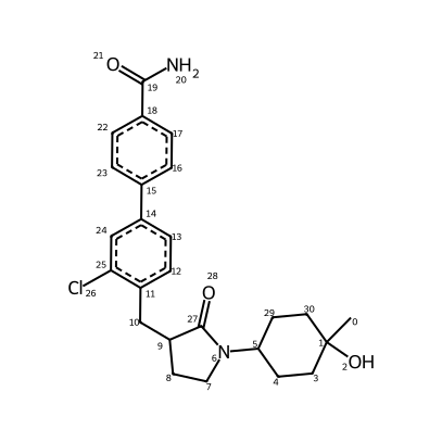 CC1(O)CCC(N2CCC(Cc3ccc(-c4ccc(C(N)=O)cc4)cc3Cl)C2=O)CC1